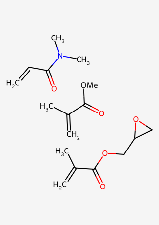 C=C(C)C(=O)OC.C=C(C)C(=O)OCC1CO1.C=CC(=O)N(C)C